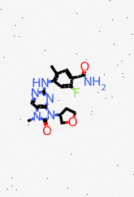 Cc1cc(C(N)=O)c(F)cc1Nc1ncc2c(n1)n(C1CCOC1)c(=O)n2C